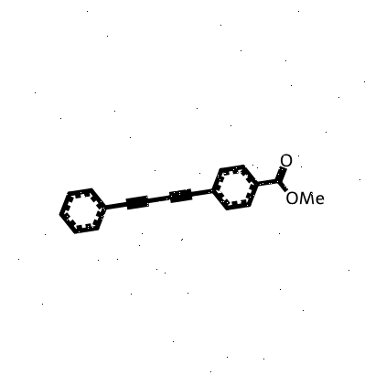 COC(=O)c1ccc(C#CC#Cc2ccccc2)cc1